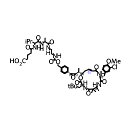 COc1ccc(C[C@H]2NC(=O)/C=C/C[C@@H](C(C)[C@H]3O[C@@H]3c3ccc(COC(=O)NCCNC(=O)C(C)NC(=O)C(NC(=O)CCCC(=O)O)C(C)C)cc3)OC(=O)[C@H](CC(C)(C)C)NC(=O)C(C)(C)[C@H](C)NC2=O)cc1Cl